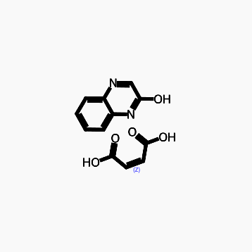 O=C(O)/C=C\C(=O)O.Oc1cnc2ccccc2n1